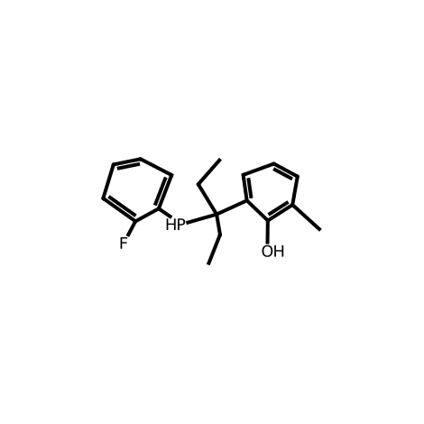 CCC(CC)(Pc1ccccc1F)c1cccc(C)c1O